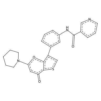 O=C(Nc1cccc(-c2csc3c(=O)cc(N4CCCCC4)oc23)c1)c1cccnc1